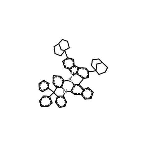 c1ccc(C2(c3ccccc3)c3ccccc3N3c4cc5ccccc5c5c4B(c4cccc2c43)n2c3ccc(C46CCCC(CCC4)C6)cc3c3cc(C46CCCC(CCC4)C6)cc-5c32)cc1